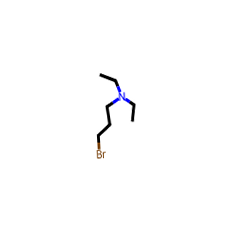 CCN(CC)CCCBr